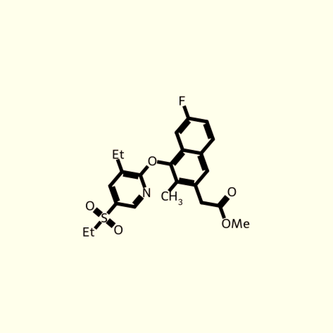 CCc1cc(S(=O)(=O)CC)cnc1Oc1c(C)c(CC(=O)OC)cc2ccc(F)cc12